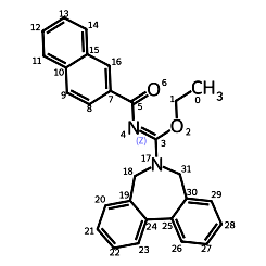 CCO/C(=N\C(=O)c1ccc2ccccc2c1)N1Cc2ccccc2-c2ccccc2C1